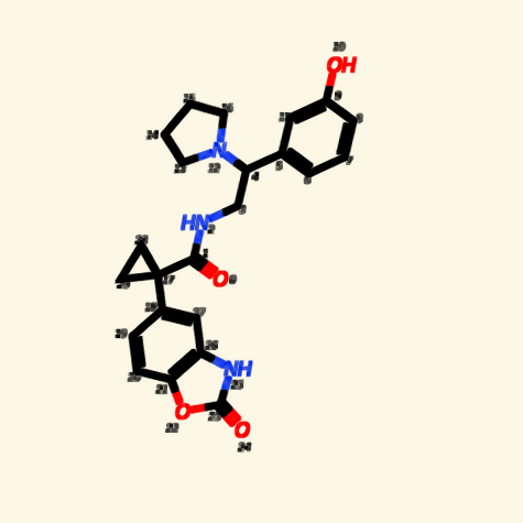 O=C(NCC(c1cccc(O)c1)N1CCCC1)C1(c2ccc3oc(=O)[nH]c3c2)CC1